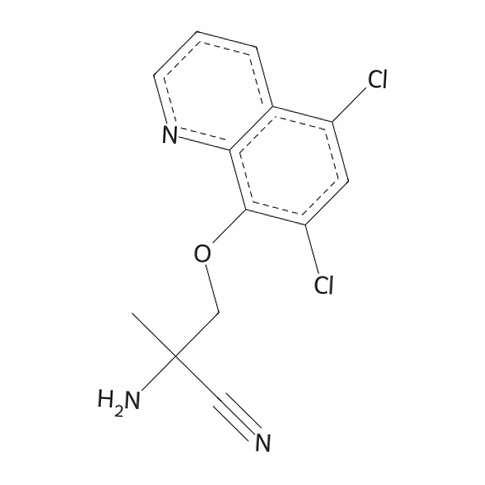 CC(N)(C#N)COc1c(Cl)cc(Cl)c2cccnc12